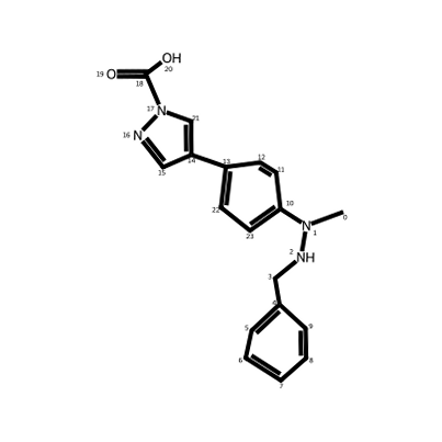 CN(NCc1ccccc1)c1ccc(-c2cnn(C(=O)O)c2)cc1